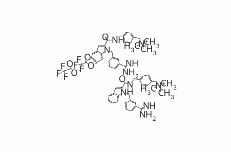 C[N+](C)(C)Cc1ccc(CNC(=O)c2cc3ccccc3n2Cc2cccc(C(=N)N)c2)cc1.C[N+](C)(C)Cc1ccc(CNC(=O)c2cc3ccccc3n2Cc2cccc(C(=N)N)c2)cc1.O=C([O-])C(F)(F)F.O=C([O-])C(F)(F)F